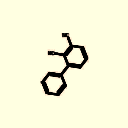 N#Cc1cccc(-c2c[c]ccc2)c1C#N